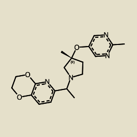 Cc1ncc(O[C@]2(C)CCN(C(C)c3ccc4c(n3)OCCO4)C2)cn1